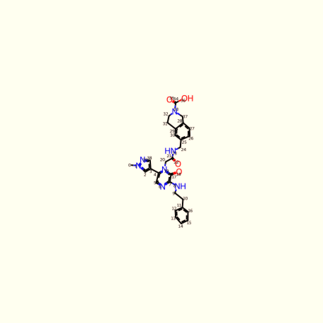 Cn1cc(-c2cnc(NCCc3ccccc3)c(=O)n2CC(=O)NCc2ccc3c(c2)CCN(C(=O)O)C3)cn1